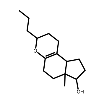 CCCC1CCC2=C(CCC3(C)C(O)CCC23)O1